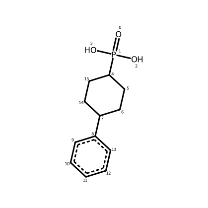 O=P(O)(O)C1CCC(c2ccccc2)CC1